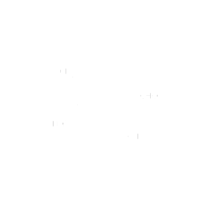 C=CC1(C)C=CC(C=O)=C(C)C1